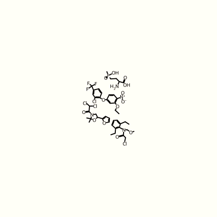 CC1(C)OC(c2ccco2)CN1C(=O)C(Cl)Cl.CCOc1cc(Oc2ccc(C(F)(F)F)cc2Cl)ccc1[N+](=O)[O-].CCc1cccc(CC)c1N(COC)C(=O)CCl.CP(=O)(O)CCC(N)C(=O)O